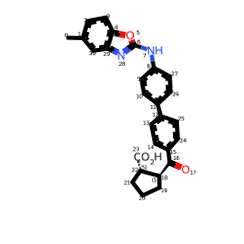 Cc1ccc2oc(Nc3ccc(-c4ccc(C(=O)[C@H]5CCC[C@@H]5C(=O)O)cc4)cc3)nc2c1